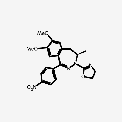 COc1cc2c(cc1OC)C(c1ccc([N+](=O)[O-])cc1)=NN(C1=NCCO1)[C@H](C)C2